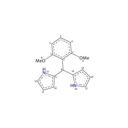 COc1cccc(OC)c1C(c1ccc[nH]1)c1ccc[nH]1